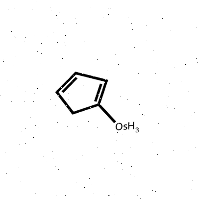 [OsH3][C]1=CC=CC1